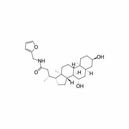 C[C@H](CC(=O)NCc1ccco1)[C@H]1CC[C@H]2[C@@H]3[C@@H](O)C[C@@H]4C[C@H](O)CC[C@]4(C)[C@H]3CC[C@]12C